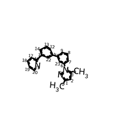 Cc1cc(C)n(-c2cccc(-c3cccc(-c4ccccn4)c3)c2)n1